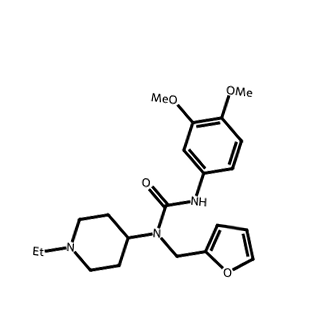 CCN1CCC(N(Cc2ccco2)C(=O)Nc2ccc(OC)c(OC)c2)CC1